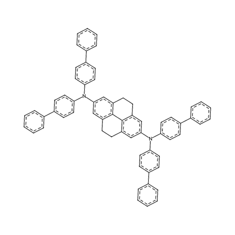 c1ccc(-c2ccc(N(c3ccc(-c4ccccc4)cc3)c3cc4c5c(c3)CCc3cc(N(c6ccc(-c7ccccc7)cc6)c6ccc(-c7ccccc7)cc6)cc(c3-5)CC4)cc2)cc1